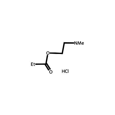 CCC(=O)OCCNC.Cl